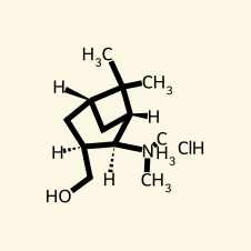 CN(C)[C@H]1[C@@H](CO)C[C@H]2C[C@@H]1C2(C)C.Cl